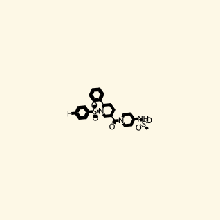 CS(=O)(=O)NC1CCN(C(=O)[C@@H]2CC[C@H](c3ccccc3)N(S(=O)(=O)c3ccc(F)cc3)C2)CC1